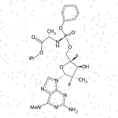 CNc1nc(N)nc2c1ncn2[C@@H]1O[C@](F)(CO[P@](=O)(N[C@@H](C)C(=O)OC(C)C)Oc2ccccc2)[C@@H](O)[C@@]1(C)F